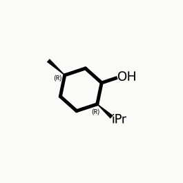 CC(C)[C@H]1CC[C@@H](C)CC1O